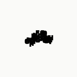 CC(=O)N1CC(n2nnc(-c3cc4c(cc3F)S(=O)(=O)C[C@H](NC(=O)OC(C)(C)C)C(=O)N4Cc3ccc(Cl)cc3)n2)CC(F)(F)C1